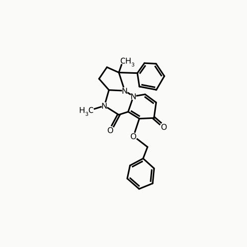 CN1C(=O)c2c(OCc3ccccc3)c(=O)ccn2N2C1CCC2(C)c1ccccc1